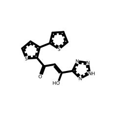 O=C(C=C(O)c1nn[nH]n1)c1sccc1-c1cccs1